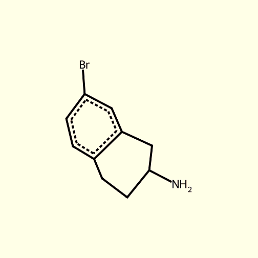 NC1CCc2ccc(Br)cc2C1